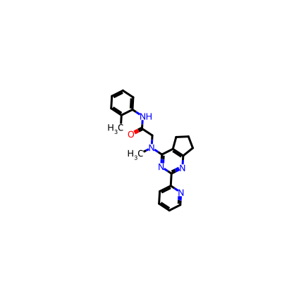 Cc1ccccc1NC(=O)CN(C)c1nc(-c2ccccn2)nc2c1CCC2